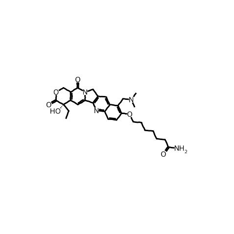 CC[C@@]1(O)C(=O)OCc2c1cc1n(c2=O)Cc2cc3c(CN(C)C)c(OCCCCCCC(N)=O)ccc3nc2-1